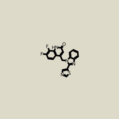 O=c1cc(Cn2c(-c3cncs3)nc3ccccc32)c2ccc(F)c(F)c2[nH]1